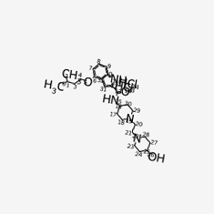 CC(C)CCOc1cccc2[nH]c(C(=O)NC3CCN(CCN4CCC(O)CC4)CC3)cc12.Cl.Cl